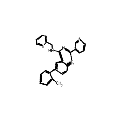 Cc1ccccc1-c1ccc2nc(-c3cccnc3)nc(NCc3ccccn3)c2c1